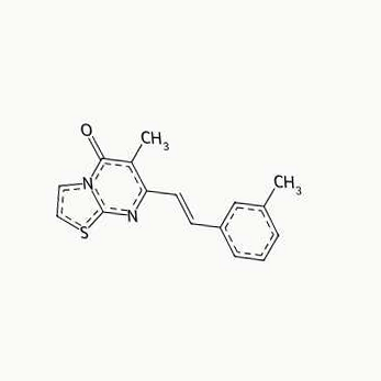 Cc1cccc(/C=C/c2nc3sccn3c(=O)c2C)c1